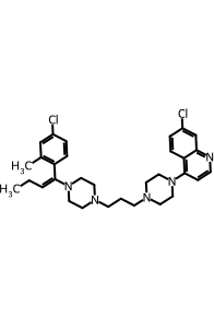 CC/C=C(\c1ccc(Cl)cc1C)N1CCN(CCCN2CCN(c3ccnc4cc(Cl)ccc34)CC2)CC1